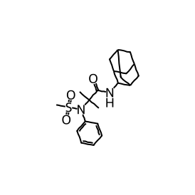 CC(C)(C(=O)NC1C2CC3CC(C2)CC1C3)N(c1ccccc1)S(C)(=O)=O